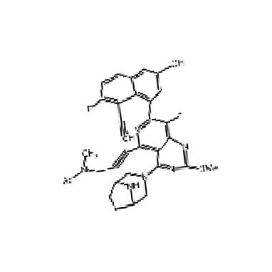 C#Cc1c(F)ccc2cc(O)cc(-c3nc(C#CCN(C)C(C)=O)c4c(N5CC6CCC(C5)N6)nc(OC)nc4c3F)c12